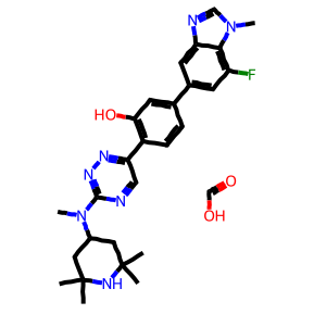 CN(c1ncc(-c2ccc(-c3cc(F)c4c(c3)ncn4C)cc2O)nn1)C1CC(C)(C)NC(C)(C)C1.O=CO